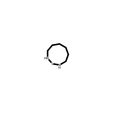 C1CCCNSNCC1